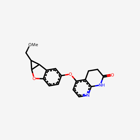 COCC1C2Oc3ccc(Oc4ccnc5c4CCC(=O)N5)cc3C12